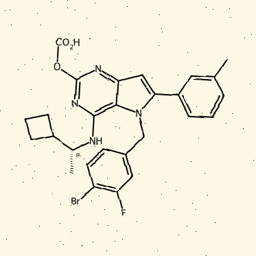 Cc1cccc(-c2cc3nc(OC(=O)O)nc(N[C@H](C)C4CCC4)c3n2Cc2ccc(Br)c(F)c2)c1